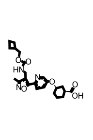 Cc1noc(-c2ccc(O[C@H]3CCC[C@H](C(=O)O)C3)cn2)c1CNC(=O)OCC1CCC1